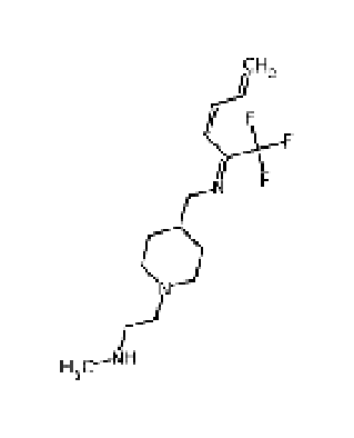 C=C/C=C\C(=N/CC1CCN(CCNC)CC1)C(F)(F)F